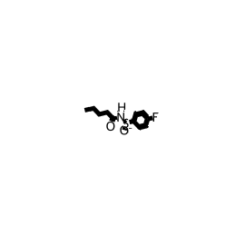 CCCCC(=O)N[S+]([O-])c1ccc(F)cc1